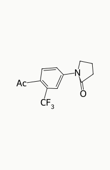 CC(=O)c1ccc(N2CCCC2=O)cc1C(F)(F)F